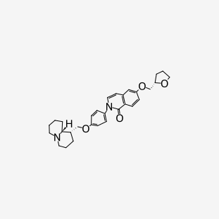 O=c1c2ccc(OC[C@@H]3CCCO3)cc2ccn1-c1ccc(OC[C@@H]2CCCN3CCCC[C@H]23)cc1